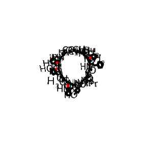 CCCC[C@H]1C(=O)N(C)CC(=O)N[C@@H](CC(=O)O)C(=O)N[C@@H](C(C)C)C(=O)N(C)[C@@H](Cc2ccccc2)C(=O)N[C@@H](Cc2ccc(O)cc2)C(=O)N(C)CC(=O)N[C@@H](Cc2c[nH]c3ccccc23)C(=O)N[C@@H](Cc2ccc(O)cc2)C(=O)N[C@@H](CC(C)C)C(=O)NCC(=O)N[C@@H](CCc2ccccc2)C(=O)N(C)[C@@H](Cc2ccccc2)C(=O)N1C